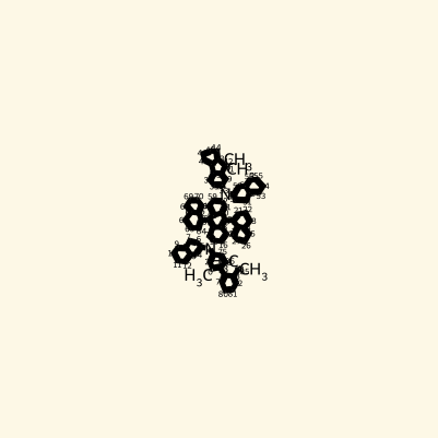 Cc1cc(N(c2ccc3ccccc3c2)c2ccc3c(-c4cccc5ccccc45)c4cc(N(c5ccc6c(c5)C(C)(C)c5ccccc5-6)c5ccc6ccccc6c5)ccc4c(-c4cccc5ccccc45)c3c2)ccc1-c1ccccc1C(C)C